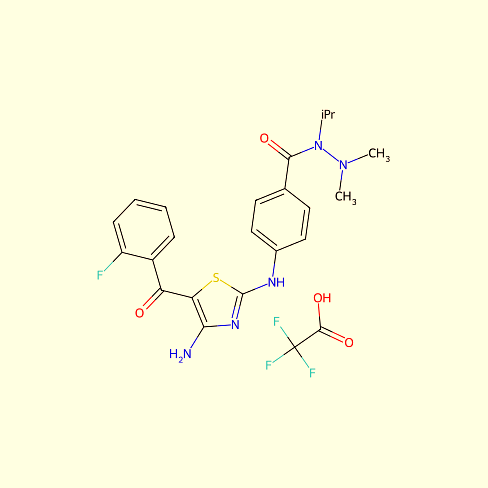 CC(C)N(C(=O)c1ccc(Nc2nc(N)c(C(=O)c3ccccc3F)s2)cc1)N(C)C.O=C(O)C(F)(F)F